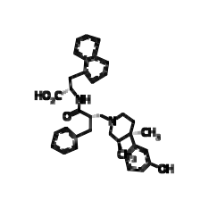 C[C@H]1CN(C[C@H](Cc2ccccc2)C(=O)N[C@@H](Cc2cccc3ccccc23)C(=O)O)CC[C@@]1(C)c1cccc(O)c1